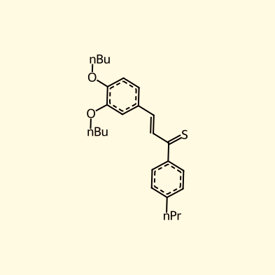 CCCCOc1ccc(C=CC(=S)c2ccc(CCC)cc2)cc1OCCCC